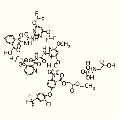 CCOC(=O)COC(=O)c1cc(Oc2ccc(C(F)(F)F)cc2Cl)ccc1[N+](=O)[O-].CCS(=O)(=O)c1cccnc1S(=O)(=O)NC(=O)Nc1nc(OC)cc(OC)n1.O=C(Nc1nc(OC(F)F)cc(OC(F)F)n1)NS(=O)(=O)c1ccccc1C(=O)O.O=C(O)CNCP(=O)(O)O